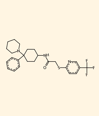 O=C(CSc1ccc(C(F)(F)F)cn1)NC1CCC(c2ccccc2)(N2CCCCC2)CC1